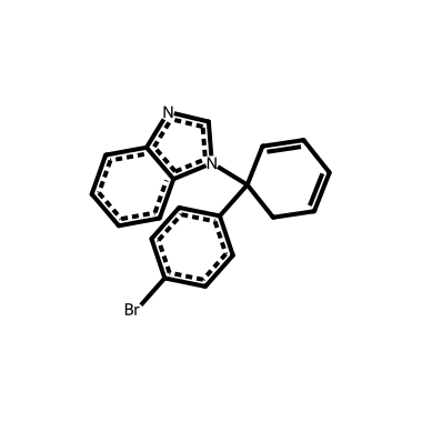 Brc1ccc(C2(n3cnc4ccccc43)C=CC=CC2)cc1